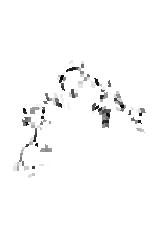 c1cc(Nc2cc(C3CC3)[nH]n2)nc(NCc2cc(C3CCCCC3)no2)n1